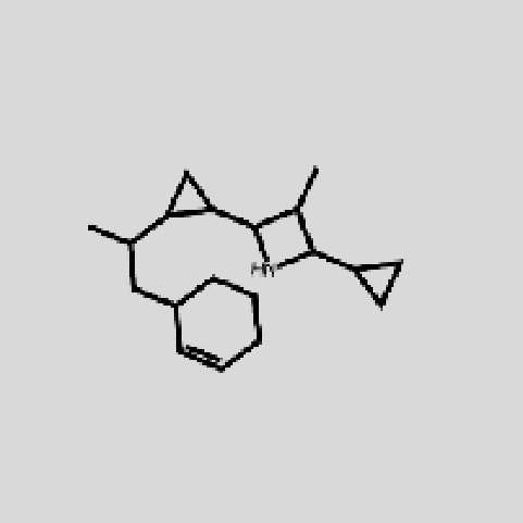 CC(CC1C=CCCC1)C1CC1C1NC(C2CC2)C1C